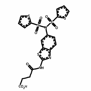 O=C(O)CCC(=O)Nc1nc2ccc(N(S(=O)(=O)c3cccs3)S(=O)(=O)c3cccs3)cc2s1